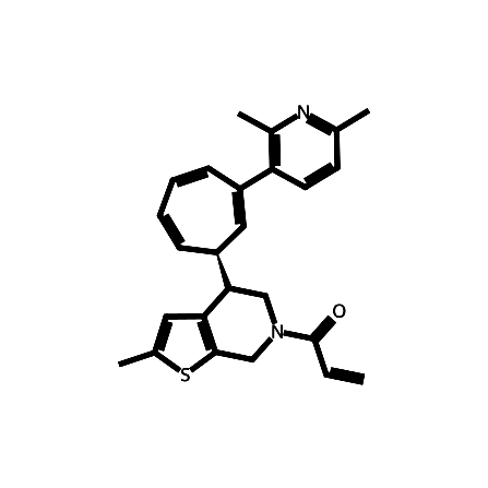 C=CC(=O)N1Cc2sc(C)cc2C([C@H]2C=CC=CC(c3ccc(C)nc3C)=C2)C1